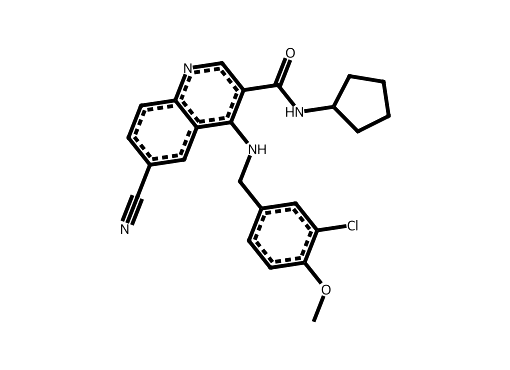 COc1ccc(CNc2c(C(=O)NC3CCCC3)cnc3ccc(C#N)cc23)cc1Cl